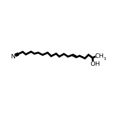 CC(O)CCCC=CCCCCCCCCCCCCC#N